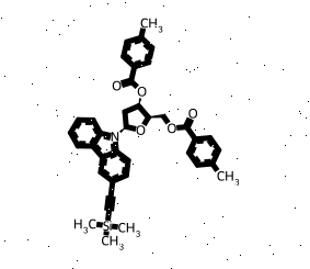 Cc1ccc(C(=O)OC[C@H]2O[C@H](n3c4ccccc4c4cc(C#C[Si](C)(C)C)ccc43)C[C@@H]2OC(=O)c2ccc(C)cc2)cc1